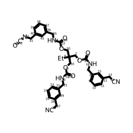 CCC(COC(=O)NCc1cccc(CC#N)c1)(COC(=O)NCc1cccc(CC#N)c1)COC(=O)NCc1cccc(CN=C=O)c1